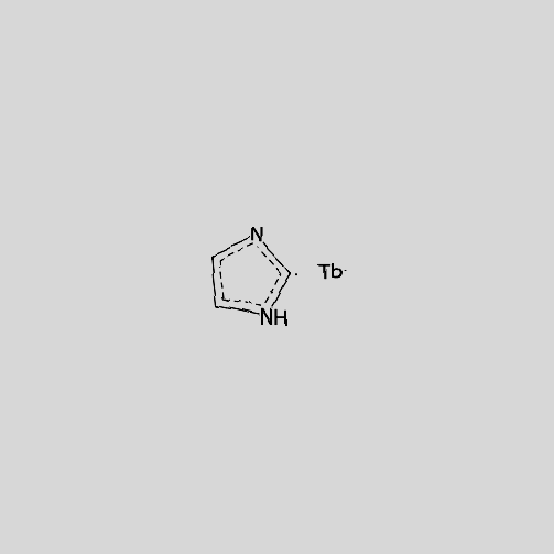 [Tb].[c]1ncc[nH]1